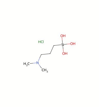 CN(C)CCC[Si](O)(O)O.Cl